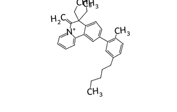 C=C1[n+]2ccccc2-c2cc(-c3cc(CCCCC)ccc3C)ccc2C1(CC)CC